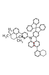 CC1(C)CCC(C)(C)c2c(-c3ccc(N(c4ccccc4)c4cc5c(cc4-c4ccc(-c6cccc7c6CCCC7)cc4)-c4ccccc4C54c5ccccc5-c5ccccc54)cc3)cccc21